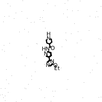 CCOc1cncc(-c2ccc(NC(=O)C3CCNCC3)nc2)n1